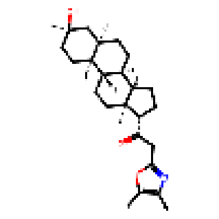 Cc1nc(CC(=O)[C@H]2CC[C@H]3[C@@H]4CC[C@@H]5C[C@](C)(O)CC[C@@H]5[C@H]4CC[C@]23C)oc1C